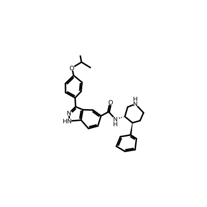 CC(C)Oc1ccc(-c2n[nH]c3ccc(C(=O)N[C@@H]4CNCC[C@H]4c4ccccc4)cc23)cc1